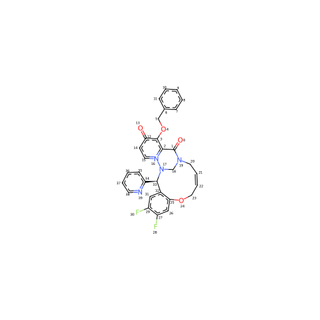 O=C1c2c(OCc3ccccc3)c(=O)ccn2N2CN1C/C=C\COc1cc(F)c(F)cc1[C@H]2c1ccccn1